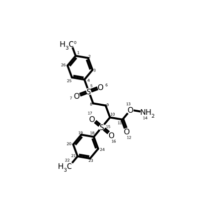 Cc1ccc(S(=O)(=O)CCC(C(=O)ON)S(=O)(=O)c2ccc(C)cc2)cc1